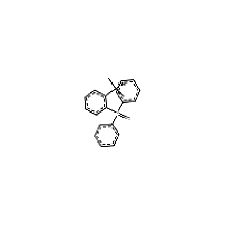 CC(C)(O)c1ccccc1P(=O)(c1ccccc1)c1ccccc1